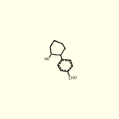 N#CC1CCCCC1c1c[c]c(C=O)cc1